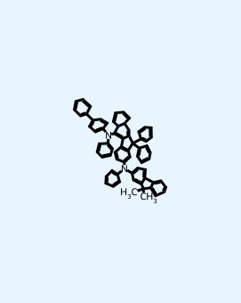 CC1(C)c2ccccc2-c2ccc(N(c3ccccc3)c3ccc4c(c3)C(c3ccccc3)(c3ccccc3)C3=CC5C=CC=CC5C(N(c5ccccc5)c5ccc(-c6ccccc6)cc5)=C34)cc21